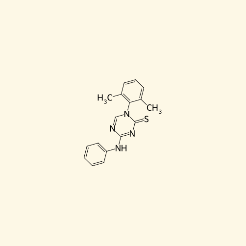 Cc1cccc(C)c1-n1cnc(Nc2ccccc2)nc1=S